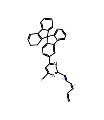 C=C/C=C\C=C\c1nc(I)cc(-c2ccc3c(c2)-c2ccccc2C32C3=C(C=CCC3)c3ccccc32)n1